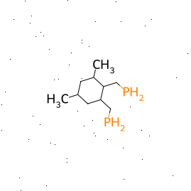 CC1CC(C)C(CP)C(CP)C1